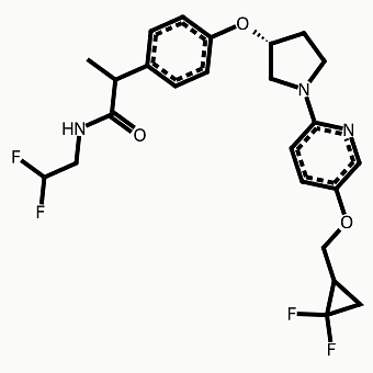 CC(C(=O)NCC(F)F)c1ccc(O[C@@H]2CCN(c3ccc(OCC4CC4(F)F)cn3)C2)cc1